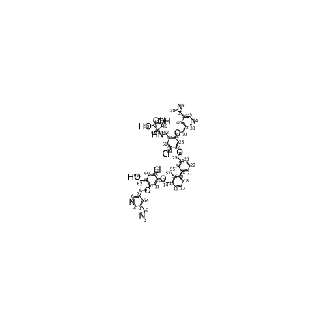 C/N=C/c1cncc(COc2cc(OCc3cccc(-c4cccc(COc5cc(OCc6cncc(C7C=N7)c6)c(CNC(C)(CO)C(O)O)cc5Cl)c4C)c3C)c(Cl)cc2CO)c1